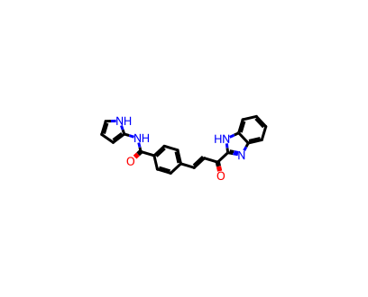 O=C(Nc1ccc[nH]1)c1ccc(C=CC(=O)c2nc3ccccc3[nH]2)cc1